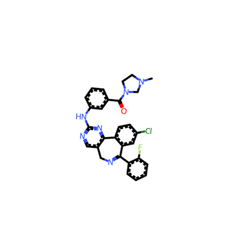 CN1CCN(C(=O)c2cccc(Nc3ncc4c(n3)-c3ccc(Cl)cc3C(c3ccccc3F)=NC4)c2)C1